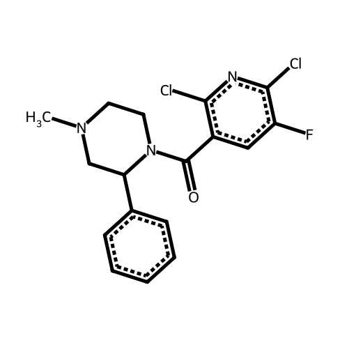 CN1CCN(C(=O)c2cc(F)c(Cl)nc2Cl)C(c2ccccc2)C1